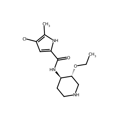 CCO[C@@H]1CNCC[C@H]1NC(=O)c1cc(Cl)c(C)[nH]1